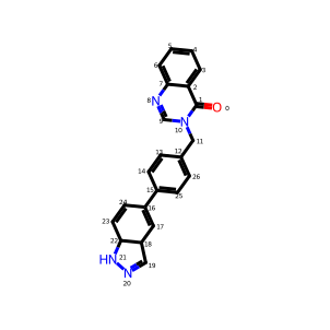 O=c1c2ccccc2ncn1Cc1ccc(C2=CC3C=NNC3C=C2)cc1